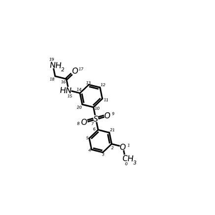 COc1cccc(S(=O)(=O)c2cccc(NC(=O)CN)c2)c1